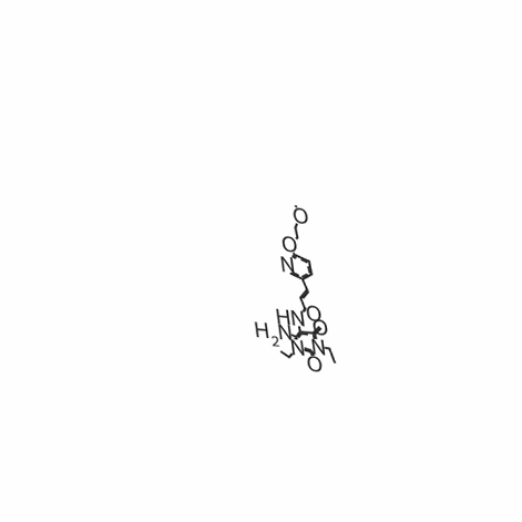 CCn1c(N)c(NC(=O)/C=C/c2ccc(OCCOC)nc2)c(=O)n(CC)c1=O